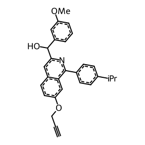 C#CCOc1ccc2cc(C(O)c3cccc(OC)c3)nc(-c3ccc(C(C)C)cc3)c2c1